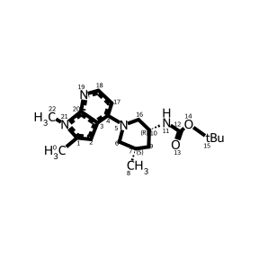 Cc1cc2c(N3C[C@@H](C)C[C@@H](NC(=O)OC(C)(C)C)C3)ccnc2n1C